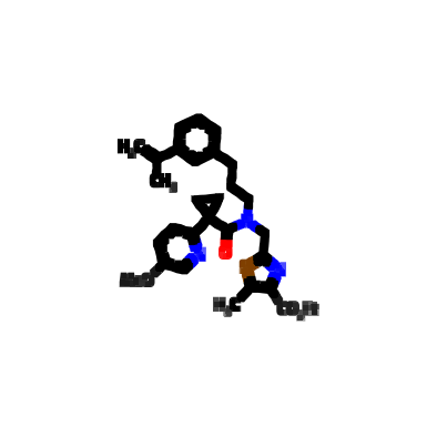 C=C(C)c1cccc(CCCN(Cc2nc(C(=O)OCC)c(C)s2)C(=O)C2(c3ccc(OC)cn3)CC2)c1